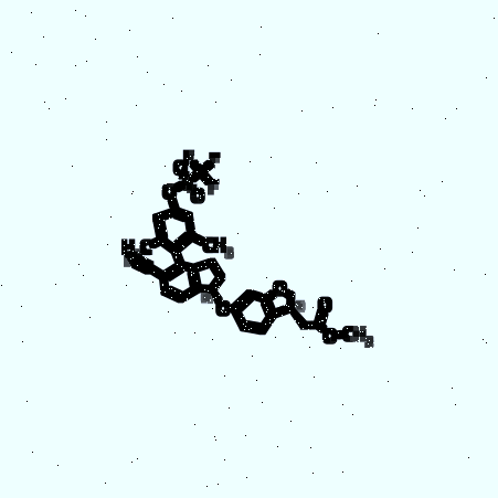 COC(=O)C[C@@H]1COc2cc(O[C@@H]3CCc4c3ccc(C#N)c4-c3c(C)cc(OS(=O)(=O)C(F)(F)F)cc3C)ccc21